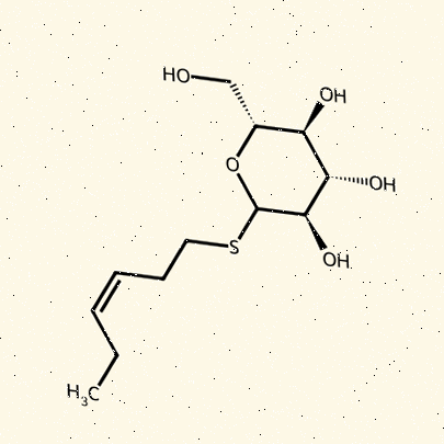 CC/C=C\CCSC1O[C@H](CO)[C@@H](O)[C@H](O)[C@H]1O